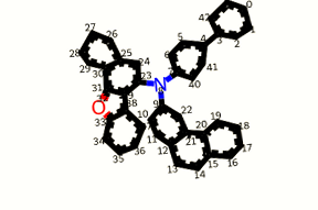 c1ccc(-c2ccc(N(c3ccc4ccc5ccccc5c4c3)c3cc4ccccc4c4oc5ccccc5c34)cc2)cc1